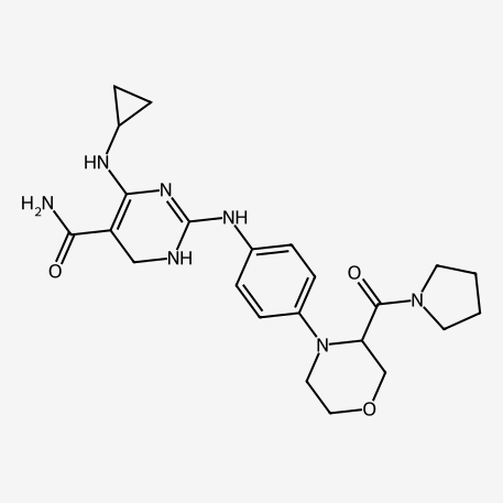 NC(=O)C1=C(NC2CC2)N=C(Nc2ccc(N3CCOCC3C(=O)N3CCCC3)cc2)NC1